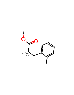 COC(=O)[C@@H](C)Cc1ccccc1C